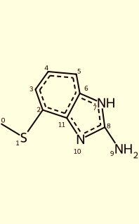 CSc1cccc2[nH]c(N)nc12